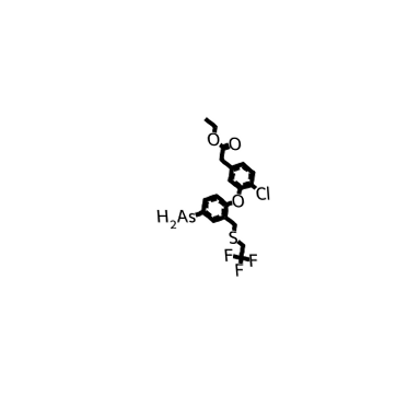 CCOC(=O)Cc1ccc(Cl)c(Oc2ccc([AsH2])cc2CSCC(F)(F)F)c1